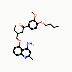 CCCCOc1ccc(C(=O)CC(CC)COc2cccc3nc(C)cc(N)c23)cc1OC